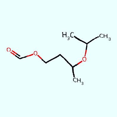 CC(C)OC(C)CCOC=O